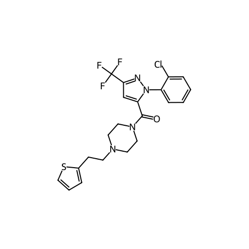 O=C(c1cc(C(F)(F)F)nn1-c1ccccc1Cl)N1CCN(CCc2cccs2)CC1